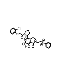 O=C1c2c(O)c(=O)nc([C@@H]3CCCN3C(=O)CSc3ccccc3Cl)n2CCN1CCS(=O)(=O)c1ccccc1